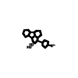 [B+2]c1ccc(-c2ccc3c4c(cccc24)-c2ccccc2-3)cc1.[OH-].[OH-]